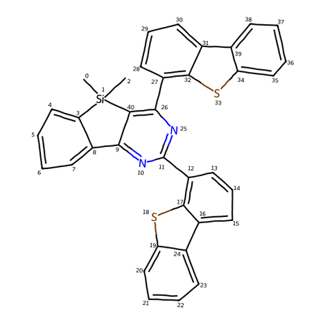 C[Si]1(C)c2ccccc2-c2nc(-c3cccc4c3sc3ccccc34)nc(-c3cccc4c3sc3ccccc34)c21